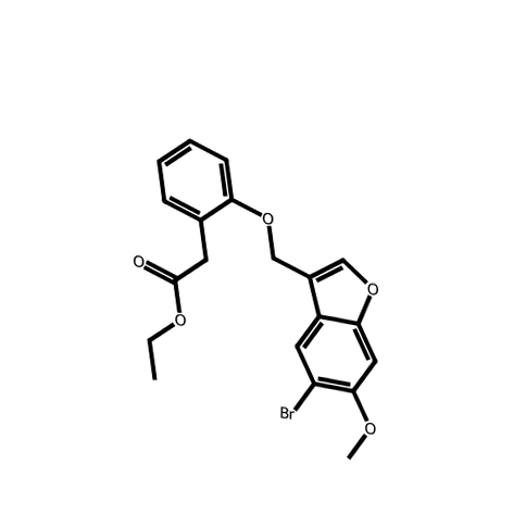 CCOC(=O)Cc1ccccc1OCc1coc2cc(OC)c(Br)cc12